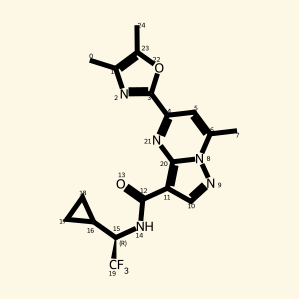 Cc1nc(-c2cc(C)n3ncc(C(=O)N[C@H](C4CC4)C(F)(F)F)c3n2)oc1C